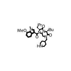 CCC(C)[C@H]1C(=O)N(CC2CCNCC2)CC2N1C(=O)[C@H](CC(C)C)N2C(=O)c1cn(C)c2c(OC)cccc12